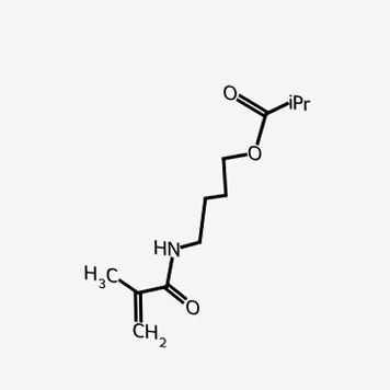 C=C(C)C(=O)NCCCCOC(=O)C(C)C